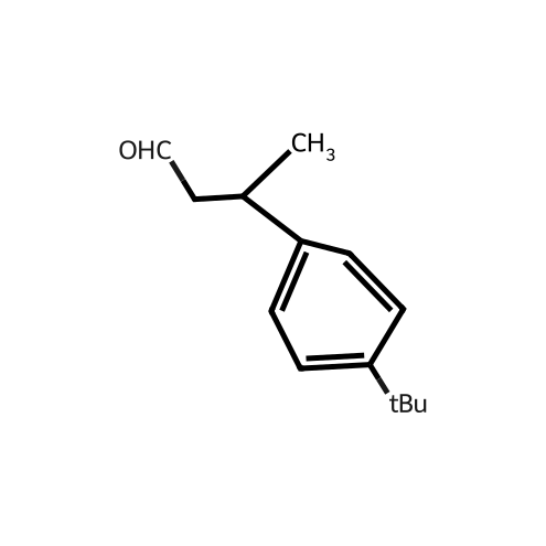 CC(CC=O)c1ccc(C(C)(C)C)cc1